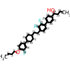 C=CCCOc1ccc(C2CCC(CCc3ccc(-c4ccc(C(O)CCC)cc4)c(F)c3F)CC2)cc1F